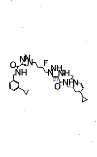 N/C(=C\N(N)CC(F)CCn1cc(C(=O)NCc2cccc(C3CC3)c2)nn1)C(=O)NCc1cc(C2CC2)ccn1